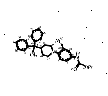 CCCC(=O)Nc1ccc(N2CCC(C(O)(c3ccccc3)c3ccccc3)CC2)c(C#N)c1